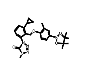 Cc1cc(B2OC(C)(C)C(C)(C)O2)ccc1OCc1c(C2CC2)cccc1-n1nnn(C)c1=O